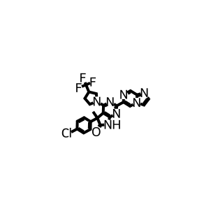 CC1(c2ccc(Cl)cc2)C(=O)Nc2nc(-c3cn4ccnc4cn3)nc(N3CCC(C(F)(F)F)C3)c21